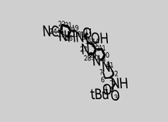 CC(C)(C)OC(=O)NC1CCN(c2ccc3c(O)c(C(=O)NCc4ccc(C#N)nc4)ncc3n2)CC1